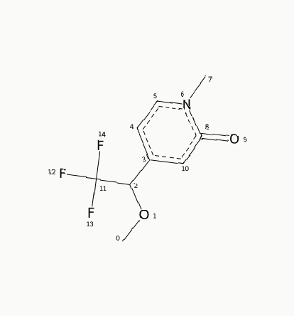 COC(c1ccn(C)c(=O)c1)C(F)(F)F